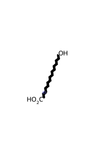 O=C(O)C/C=C/CCCCCCCCCCCCCO